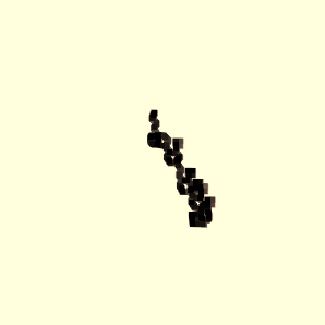 C=CCCC1CCC(c2ccc(CCc3ccc(-c4ccc(OCC)c(F)c4F)c(F)c3F)cc2F)CO1